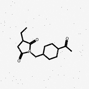 CCC1CC(=O)N(CC2CCC(C(C)=O)CC2)C1=O